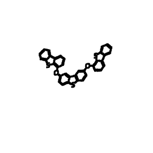 c1ccc2c(c1)sc1c(Oc3ccc4sc5ccc(Oc6cccc7c6sc6ccccc67)cc5c4c3)cccc12